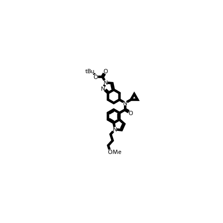 COCCCn1ccc2c(C(=O)N(C3CC3)C3CCc4nn(C(=O)OC(C)(C)C)cc4C3)cccc21